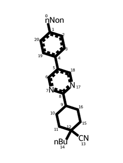 CCCCCCCCCc1ccc(-c2cnc(C3CCC(C#N)(CCCC)CC3)nc2)cc1